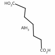 O=C(O)CCCCCC(=O)O.[AlH3]